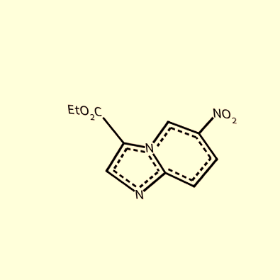 CCOC(=O)c1cnc2ccc([N+](=O)[O-])cn12